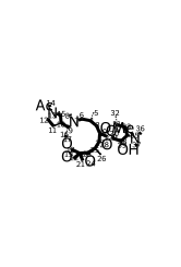 CO[C@]1(C)C[C@@H](C)CN(C)[C@@H]([C@H]2CCN(C(C)=O)C2)COC(=O)C(C)(C)C(=O)[C@H](C)[C@H]1O[C@@H]1O[C@H](C)C[C@H](N(C)C)[C@H]1O